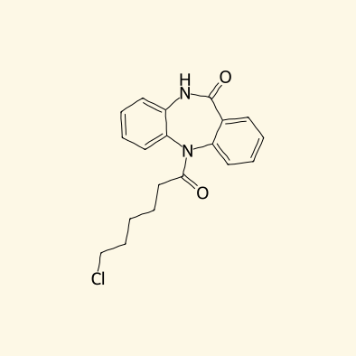 O=C1Nc2ccccc2N(C(=O)CCCCCCl)c2ccccc21